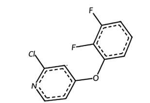 Fc1cccc(Oc2[c]c(Cl)ncc2)c1F